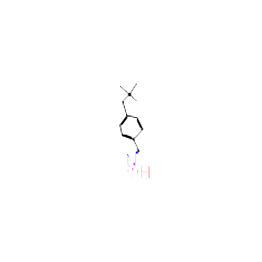 CC(C)(C)[CH]c1ccc(C=NO)cc1